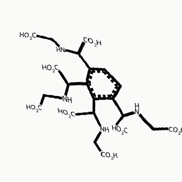 O=C(O)CNC(C(=O)O)c1ccc(C(NCC(=O)O)C(=O)O)c(C(NCC(=O)O)C(=O)O)c1C(NCC(=O)O)C(=O)O